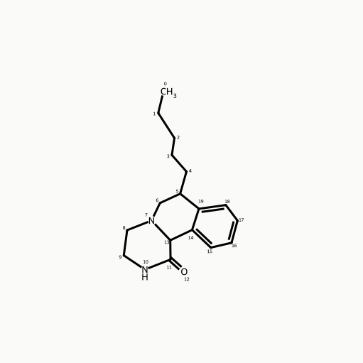 CCCCCC1CN2CCNC(=O)C2c2ccccc21